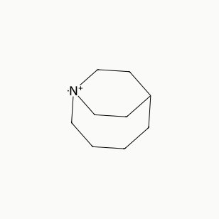 C1CC[N+]2CCC(C1)CC2